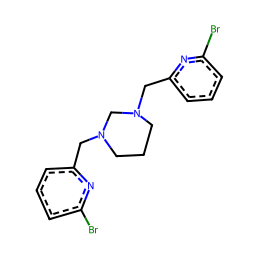 Brc1cccc(CN2CCCN(Cc3cccc(Br)n3)C2)n1